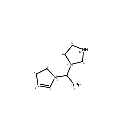 CC[CH]C(N1C=NCC1)N1CCNC1